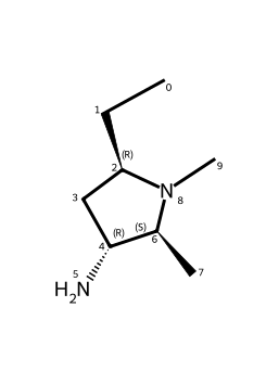 CC[C@@H]1C[C@@H](N)[C@H](C)N1C